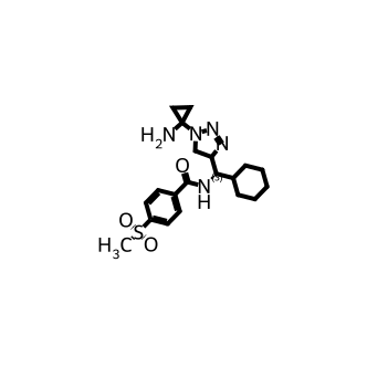 CS(=O)(=O)c1ccc(C(=O)N[C@@H](C2CCCCC2)C2CN(C3(N)CC3)N=N2)cc1